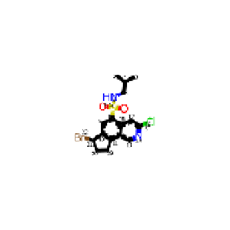 CC(C)CNS(=O)(=O)c1cc2c(c3cnc(Cl)cc13)CCC2Br